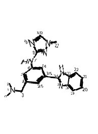 CN(C)Cc1cc(Nc2ncn(C)n2)cc(-c2nc3ccccc3[nH]2)c1